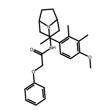 COc1ccc(C(C)N2C3CCC2CC(NC(=O)COc2ccccc2)C3)c(C)c1C